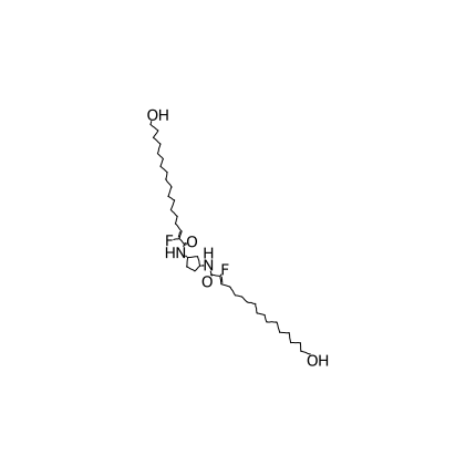 O=C(N[C@@H]1CC[C@H](NC(=O)/C(F)=C/CCCCCCCCCCCCCCCO)C1)/C(F)=C/CCCCCCCCCCCCCCCO